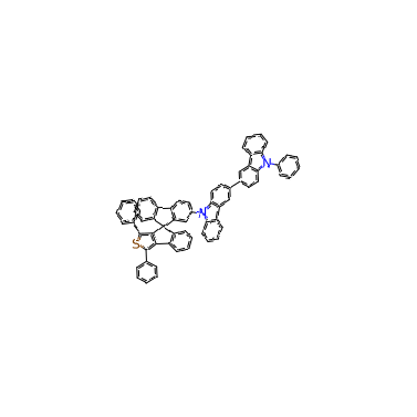 c1ccc(-c2sc(-c3ccccc3)c3c2-c2ccccc2C32c3ccccc3-c3ccc(-n4c5ccccc5c5cc(-c6ccc7c(c6)c6ccccc6n7-c6ccccc6)ccc54)cc32)cc1